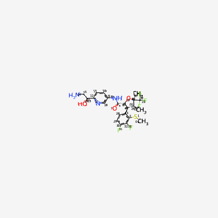 CSc1c([C@H]2[C@H](C(=O)Nc3ccc([C@@H](O)CN)nc3)O[C@@](C)(C(F)(F)F)[C@H]2C)ccc(F)c1F